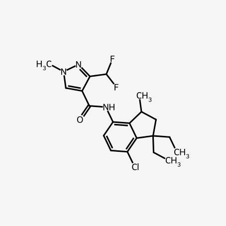 CCC1(CC)CC(C)c2c(NC(=O)c3cn(C)nc3C(F)F)ccc(Cl)c21